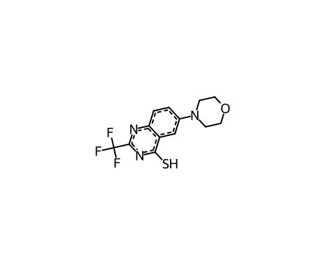 FC(F)(F)c1nc(S)c2cc(N3CCOCC3)ccc2n1